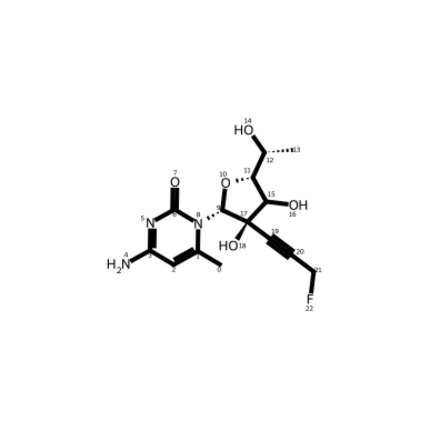 Cc1cc(N)nc(=O)n1[C@@H]1O[C@H]([C@@H](C)O)C(O)[C@]1(O)C#CCF